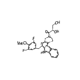 COc1c(F)cc(Cc2nc3c(c4c2[nH]c2ccccc24)CCN(C(=O)C(O)CO)C3)cc1F